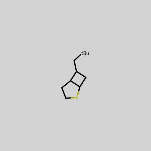 CC(C)(C)CC1CC2SCCC12